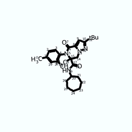 Cc1ccc(N2C(=O)c3cc(C(C)(C)C)nn3CC2(C)C(=O)NC2CCCCCC2)c(C)c1